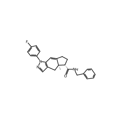 C[C@]12Cc3cnn(-c4ccc(F)cc4)c3C=C1CC[C@@H]2C(=O)NCc1ccccc1